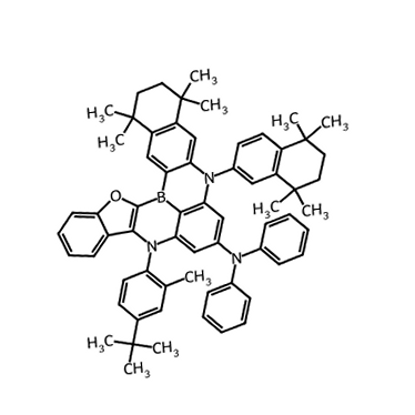 Cc1cc(C(C)(C)C)ccc1N1c2cc(N(c3ccccc3)c3ccccc3)cc3c2B(c2cc4c(cc2N3c2ccc3c(c2)C(C)(C)CCC3(C)C)C(C)(C)CCC4(C)C)c2oc3ccccc3c21